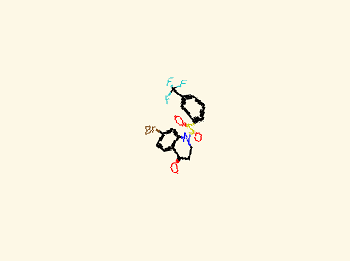 O=C1CCN(S(=O)(=O)c2cccc(C(F)(F)F)c2)c2cc(Br)ccc21